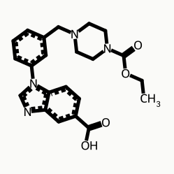 CCOC(=O)N1CCN(Cc2cccc(-n3cnc4cc(C(=O)O)ccc43)c2)CC1